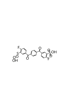 O=C(c1ccc(C(=O)c2ccc(F)c(S(=O)(=O)O)c2)cc1)c1ccc(F)c(SOOO)c1